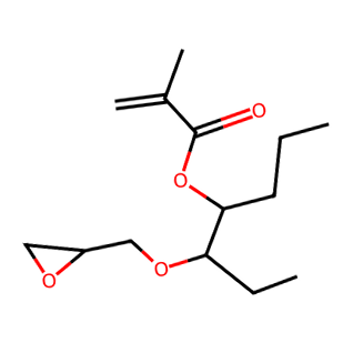 C=C(C)C(=O)OC(CCC)C(CC)OCC1CO1